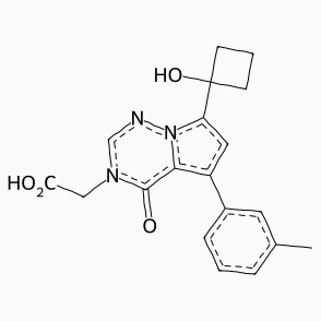 Cc1cccc(-c2cc(C3(O)CCC3)n3ncn(CC(=O)O)c(=O)c23)c1